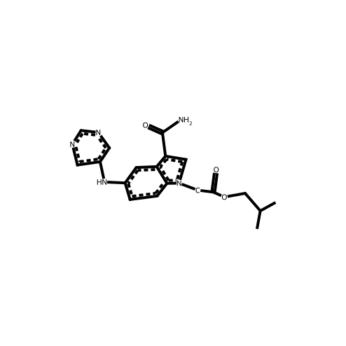 CC(C)COC(=O)Cn1cc(C(N)=O)c2cc(Nc3cncnc3)ccc21